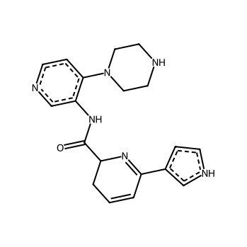 O=C(Nc1cnccc1N1CCNCC1)C1CC=CC(c2cc[nH]c2)=N1